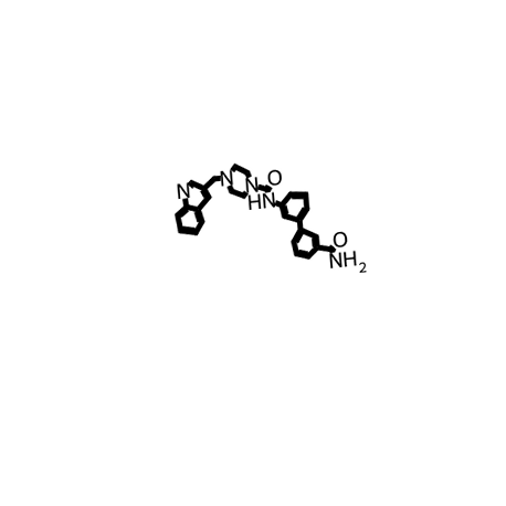 NC(=O)c1cccc(-c2cccc(NC(=O)N3CCN(Cc4cnc5ccccc5c4)CC3)c2)c1